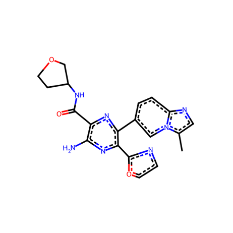 Cc1cnc2ccc(-c3nc(C(=O)NC4CCOC4)c(N)nc3-c3ncco3)cn12